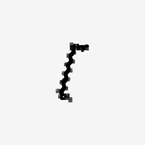 [CH2]CCCCCCCCCCCCC=CCC=C